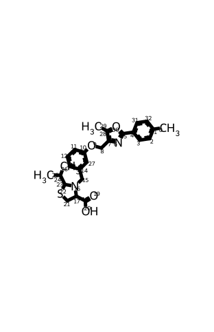 Cc1ccc(-c2nc(COc3cccc(CN4C(C(=O)O)CSC4C(C)C)c3)c(C)o2)cc1